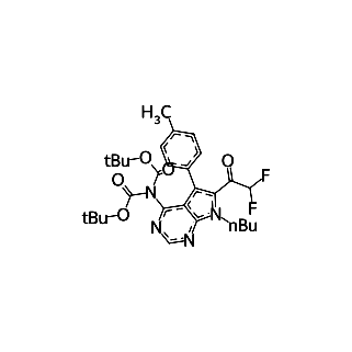 CCCCn1c(C(=O)C(F)F)c(-c2ccc(C)cc2)c2c(N(C(=O)OC(C)(C)C)C(=O)OC(C)(C)C)ncnc21